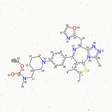 Cc1sc2c(c1C)C(c1ccc(N3CCCC(CN(C)C(=O)OC(C)(C)C)C3)cc1)=NC(Cc1ncco1)c1nnc(C)n1-2